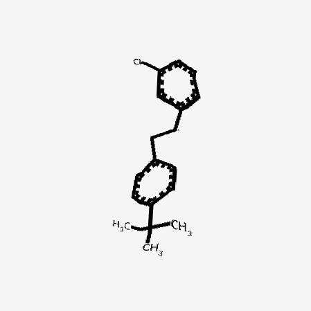 CC(C)(C)c1ccc(C[CH]c2cccc(Cl)c2)cc1